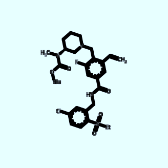 C=Cc1cc(C(=O)NCc2cc(Cl)ccc2S(=O)(=O)CC)cc(F)c1CN1CCC[C@H](N(C)C(=O)OC(C)(C)C)C1